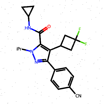 CC(C)n1nc(-c2ccc(C#N)cc2)c(C2CC(F)(F)C2)c1C(=O)NC1CC1